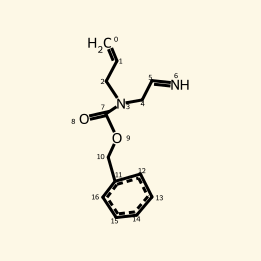 C=CCN(CC=N)C(=O)OCc1ccccc1